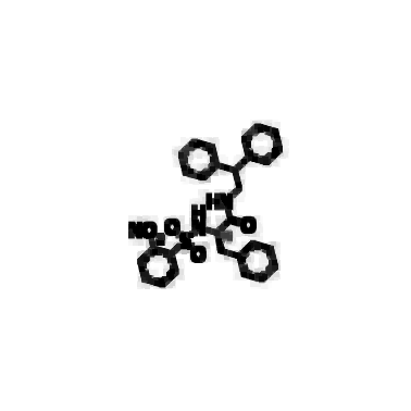 O=C(NCC(c1ccccc1)c1ccccc1)[C@@H](Cc1ccccc1)NS(=O)(=O)c1ccccc1[N+](=O)[O-]